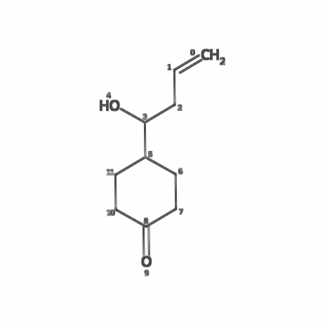 C=CCC(O)C1CCC(=O)CC1